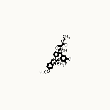 CCOC(=O)c1coc([C@@]2([C@H](O)c3ccc(F)c(Cl)c3)CC[C@H](N(Cc3ccc(OC)cc3)S(C)(=O)=O)C2)n1